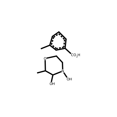 CC1OCCN(O)C1O.Cc1cccc(C(=O)O)c1